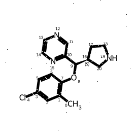 Cc1cc(Cl)ccc1OC(c1cnccn1)[C@H]1CCNC1